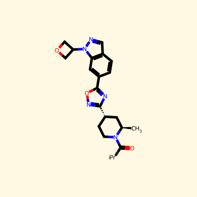 CC(C)C(=O)N1CC[C@H](c2noc(-c3ccc4cnn(C5COC5)c4c3)n2)C[C@H]1C